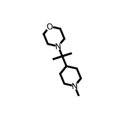 CN1CCC(C(C)(C)N2CCOCC2)CC1